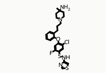 CC1(N)CCN(CCCc2ccccc2Oc2cc(F)c(SNc3cscn3)cc2Cl)CC1